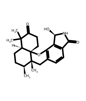 C[C@H]1CC[C@H]2C(C)(C)C(=O)CC[C@]23Oc2c(ccc4c2[C@@H](O)NC4=O)C[C@]13C